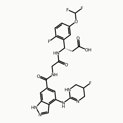 O=C(O)C[C@H](NC(=O)CNC(=O)c1cc(NC2=NCC(F)CN2)c2cn[nH]c2c1)c1cc(OC(F)F)ccc1F